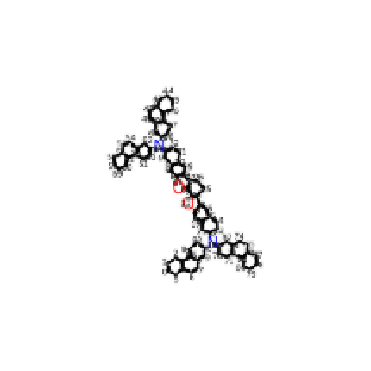 c1ccc2c(c1)ccc1cc(N(c3ccc4cc5c(cc4c3)oc3c5ccc4c5cc6ccc(N(c7ccc8c(ccc9ccccc98)c7)c7ccc8c(ccc9ccccc98)c7)cc6cc5oc43)c3ccc4c(ccc5ccccc54)c3)ccc12